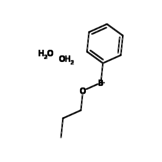 CCCO[B]c1ccccc1.O.O